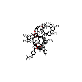 CN[C@H](CC(C)C)C(=O)N[C@H]1C(=O)N[C@@H](CC(N)=O)C(=O)NC2C(=O)NC3C(=O)N[C@H](C(=O)N[C@@H](C(=O)O)c4cc(O)cc(O)c4-c4cc3ccc4O)[C@H](O)c3ccc(c(Cl)c3)Oc3cc2cc(c3OC2O[C@H](CO)[C@@H](O)[C@H](O)[C@H]2O[C@H]2C[C@](C)(NCCn3ccc(NC(=O)c4ccc(OC(F)(F)C(F)F)cc4)nc3=O)[C@H](O)[C@H](C)O2)Oc2ccc(cc2Cl)[C@H]1O